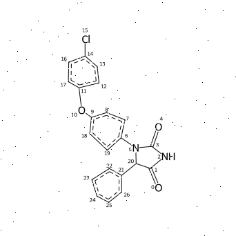 O=C1NC(=O)N(c2ccc(Oc3ccc(Cl)cc3)cc2)C1c1ccccc1